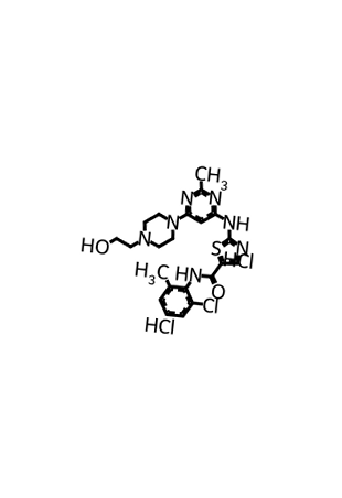 Cc1nc(Nc2ncc(C(=O)Nc3c(C)cccc3Cl)s2)cc(N2CCN(CCO)CC2)n1.Cl.Cl